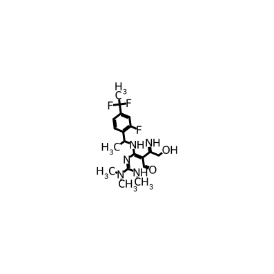 CN/C(=N\C(NC(C)c1ccc(C(C)(F)F)cc1F)=C(/C=O)C(=N)CO)N(C)C